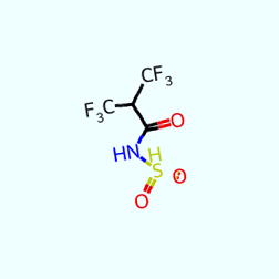 O=C(N[SH](=O)=O)C(C(F)(F)F)C(F)(F)F